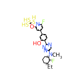 CC[C@@H]1CCC[C@H](N(C)c2cnc(-c3ccc(-c4cc(F)nc(OC(S)(S)S)c4)cc3O)nn2)[C@@H]1F